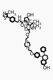 Cc1ncsc1-c1ccc(CNC(=O)[C@@H]2C[C@@H](O)CN2C(=O)C(NC(=O)COCCN2CCN(CCOc3ccc([C@@H]4c5ccc(O)cc5CC[C@@H]4c4ccccc4)cc3)CC2)C(C)(C)C)cc1